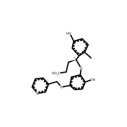 Cc1ccc(O)cc1[C@H](CCC(=O)O)Oc1cc(OCc2cccnc2)ccc1C#N